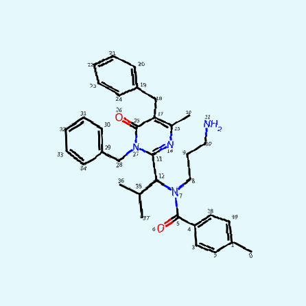 Cc1ccc(C(=O)N(CCCN)C(c2nc(C)c(Cc3ccccc3)c(=O)n2Cc2ccccc2)C(C)C)cc1